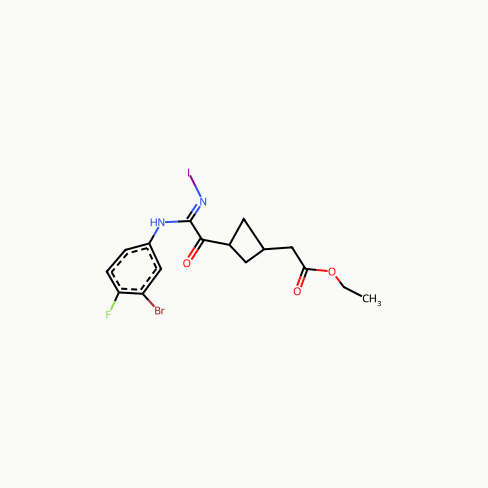 CCOC(=O)CC1CC(C(=O)/C(=N/I)Nc2ccc(F)c(Br)c2)C1